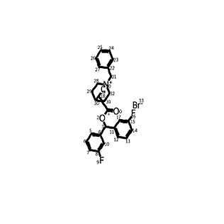 O=C(OC(c1cccc(F)c1)c1cccc(F)c1)C1C[N+]2(Cc3ccccc3)CCC1CC2.[Br-]